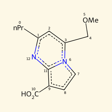 CCCc1cc(COC)n2ccc(C(=O)O)c2n1